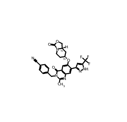 Cc1nc2cc(-c3cc(C(F)(F)F)[nH]n3)c(O[C@H]3CCN4C(=O)OC[C@@H]4C3)cc2c(=O)n1Cc1ccc(C#N)cc1